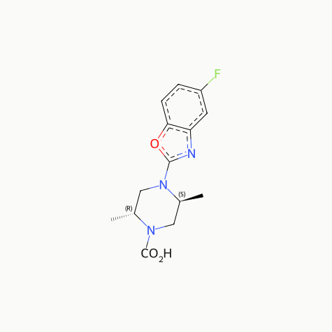 C[C@@H]1CN(c2nc3cc(F)ccc3o2)[C@@H](C)CN1C(=O)O